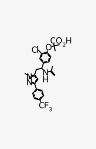 C=C(C)NC(Cc1cc(-c2ccc(C(F)(F)F)cc2)nn1C)c1ccc(OC(C)(C)C(=O)O)c(Cl)c1